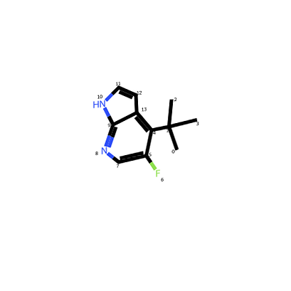 CC(C)(C)c1c(F)cnc2[nH]ccc12